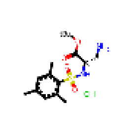 Cc1cc(C)c(S(=O)(=O)N[C@@H](CN)C(=O)OC(C)(C)C)c(C)c1.Cl